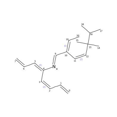 C=C/C=C\C(=C/C=C)N=CC(/C=C\C(C)(C)C(C)C)=C/C